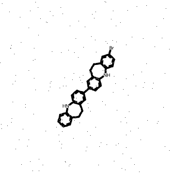 Brc1ccc2c(c1)CCc1cc(-c3ccc4c(c3)CCc3ccccc3N4)ccc1N2